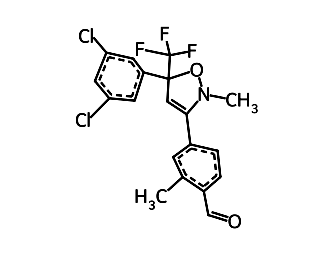 Cc1cc(C2=CC(c3cc(Cl)cc(Cl)c3)(C(F)(F)F)ON2C)ccc1C=O